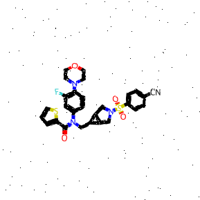 N#Cc1ccc(S(=O)(=O)N2CC3C(CN(C(=O)c4cccs4)c4ccc(N5CCOCC5)c(F)c4)C3C2)cc1